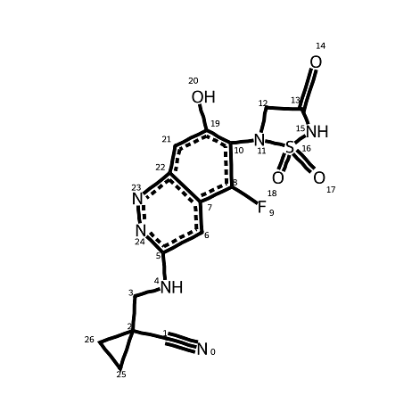 N#CC1(CNc2cc3c(F)c(N4CC(=O)NS4(=O)=O)c(O)cc3nn2)CC1